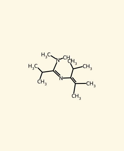 CC(C)=C(/N=C(/C(C)C)N(C)C)C(C)C